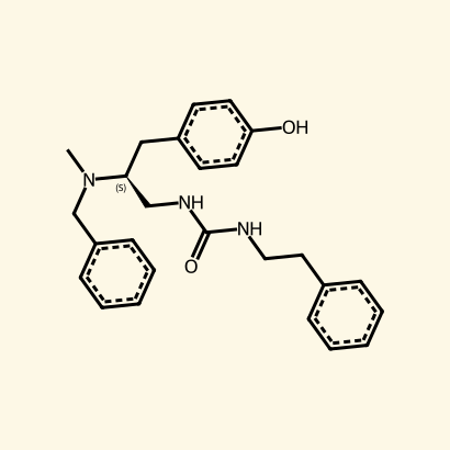 CN(Cc1ccccc1)[C@H](CNC(=O)NCCc1ccccc1)Cc1ccc(O)cc1